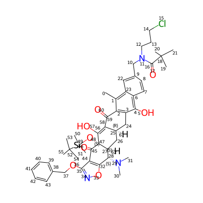 Cc1c2c(c(O)c3ccc(CN(CCCCl)C(=O)C(C)(C)C)cc13)C[C@H]1C[C@H]3[C@H](N(C)C)c4onc(OCc5ccccc5)c4C(=O)[C@@]3(O[Si](C)(C)C(C)(C)C)C(O)=C1C2=O